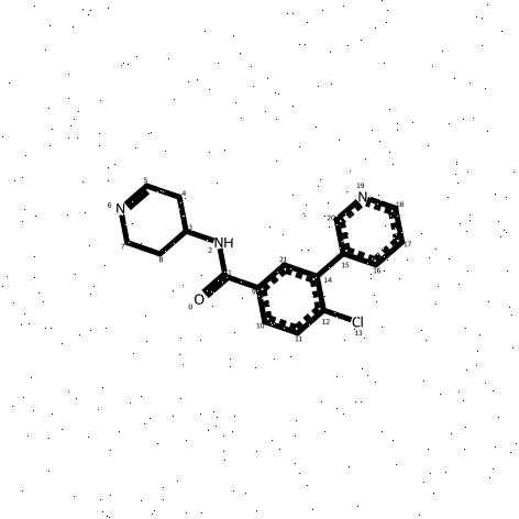 O=C(NC1CC=NCC1)c1ccc(Cl)c(-c2cccnc2)c1